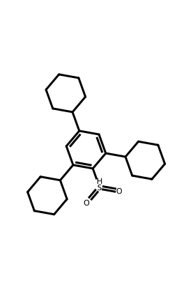 O=[SH](=O)c1c(C2CCCCC2)cc(C2CCCCC2)cc1C1CCCCC1